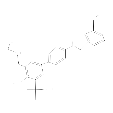 COc1c(CNCC(F)(F)F)cc(-c2ccc(NCc3cccc(OC(F)(F)F)c3)nc2)cc1C(C)(C)C(=O)O